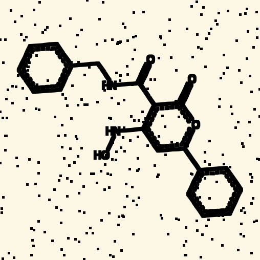 O=C(NCc1ccccc1)c1c(NO)cc(-c2ccccc2)oc1=O